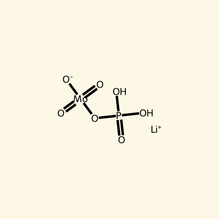 O=P(O)(O)[O][Mo](=[O])(=[O])[O-].[Li+]